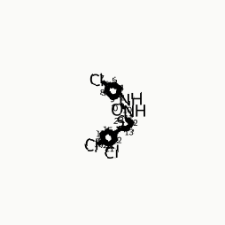 O=C(Nc1ccc(Cl)cc1)Nc1ccc(-c2ccc(Cl)c(Cl)c2)s1